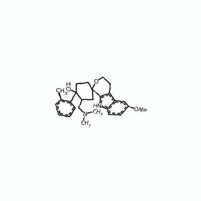 COc1ccc2[nH]c3c(c2c1)CCOC31CCC(O)(c2ccccc2C)C(CN(C)C)C1